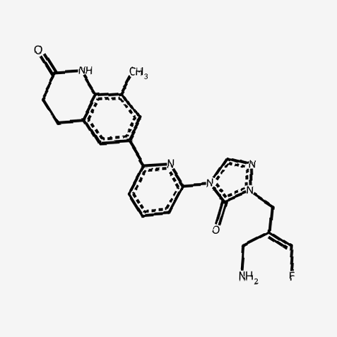 Cc1cc(-c2cccc(-n3cnn(C/C(=C/F)CN)c3=O)n2)cc2c1NC(=O)CC2